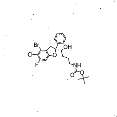 C[C@H]1c2c(cc(F)c(Cl)c2Br)O[C@@]1(c1ccccc1)C(O)CCCNC(=O)OC(C)(C)C